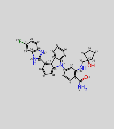 NC(=O)c1ccc(-n2c3ccccc3c3c(-c4nc5ccc(F)cc5[nH]4)cccc32)cc1NCC1(O)CCCC1